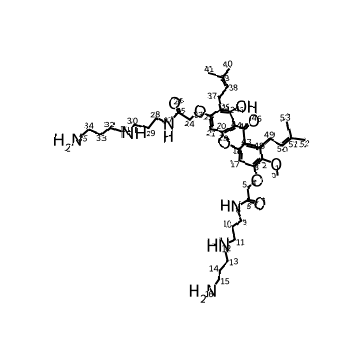 COc1c(OCC(=O)NCCCNCCCN)cc2oc3cc(OCC(=O)NCCCNCCCN)c(CC=C(C)C)c(O)c3c(=O)c2c1CC=C(C)C